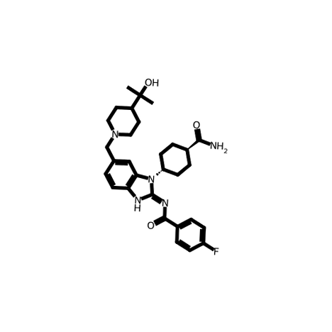 CC(C)(O)C1CCN(Cc2ccc3[nH]/c(=N\C(=O)c4ccc(F)cc4)n([C@H]4CC[C@H](C(N)=O)CC4)c3c2)CC1